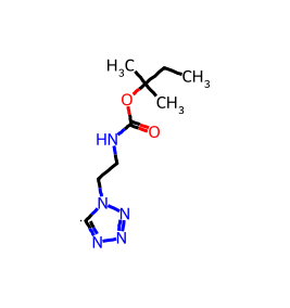 CCC(C)(C)OC(=O)NCCn1[c]nnn1